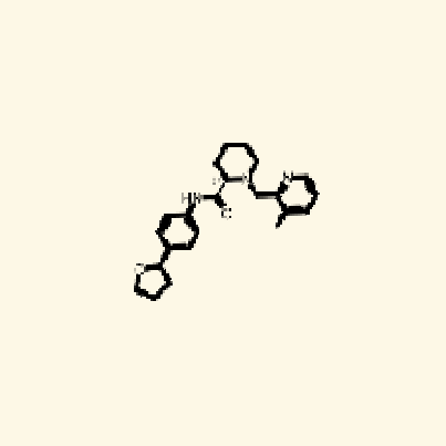 Cc1cccnc1CN1CCCC[C@@H]1C(=O)Nc1ccc(C2CCCO2)cc1